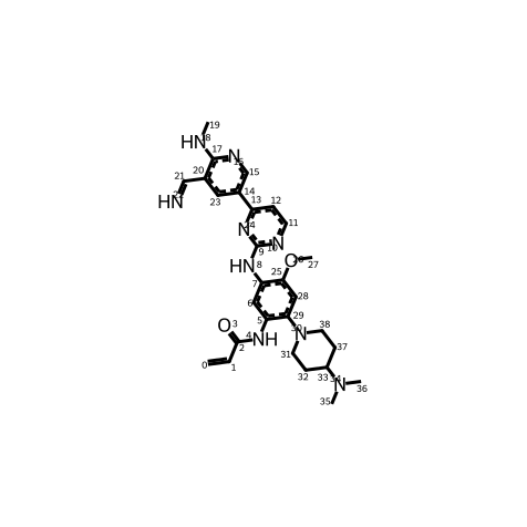 C=CC(=O)Nc1cc(Nc2nccc(-c3cnc(NC)c(C=N)c3)n2)c(OC)cc1N1CCC(N(C)C)CC1